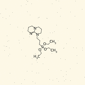 CCO[Si](CCCN1CCCN2CCCN=C21)(OCC)OCC